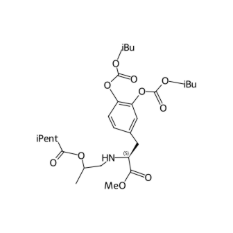 CCCC(C)C(=O)OC(C)CN[C@@H](Cc1ccc(OC(=O)OC(C)CC)c(OC(=O)OC(C)CC)c1)C(=O)OC